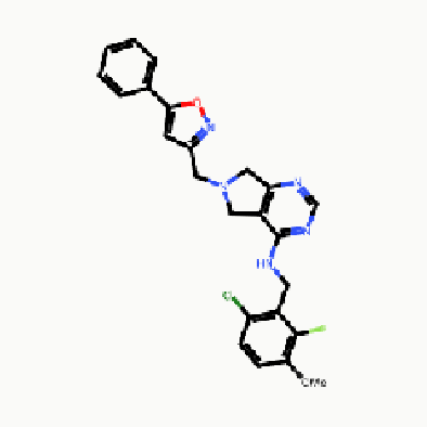 COc1ccc(Cl)c(CNc2ncnc3c2CN(Cc2cc(-c4ccccc4)on2)C3)c1F